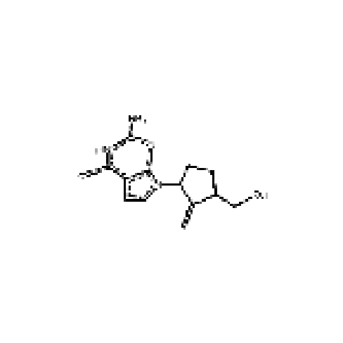 C=C1C(CO)CCC1n1ccc2c(=O)[nH]c(N)nc21